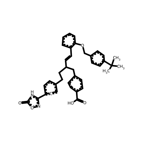 CC(C)(C)c1ccc(COc2ccccc2C=CC(CCc2ccc(-c3noc(=O)[nH]3)cc2)Cc2ccc(C(=O)O)cc2)cc1